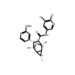 COc1cc([C@@H]2[C@@H](C(=O)Nc3cnc(Cl)c(Cl)c3)[C@@H]3O[C@H]2C2C3[C@@H]2C)ccn1